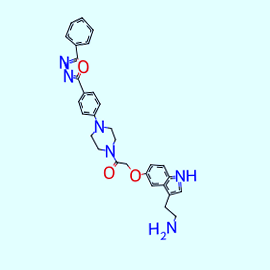 NCCc1c[nH]c2ccc(OCC(=O)N3CCN(c4ccc(-c5nnc(-c6ccccc6)o5)cc4)CC3)cc12